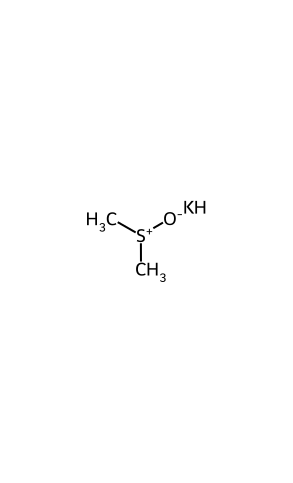 C[S+](C)[O-].[KH]